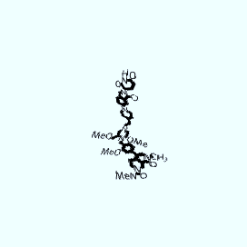 CNC(=O)N1CCc2c(-c3cc(OC)c(CN4CCN(CCC5CCN(c6ccc7c(c6)C(=O)N(C6CCC(=O)NC6=O)C7)CC5)CC4COC)c(OC)c3)cn(C)c(=O)c2C1